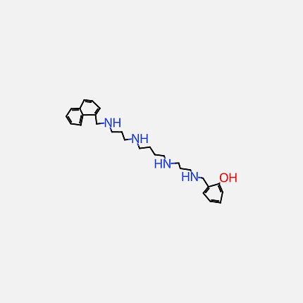 Oc1ccccc1CNCCCNCCCCNCCCNCc1cccc2ccccc12